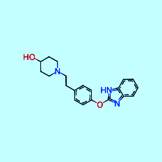 OC1CCN(CCc2ccc(Oc3nc4ccccc4[nH]3)cc2)CC1